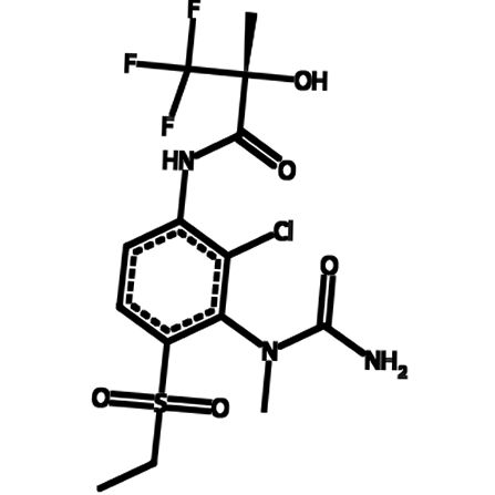 CCS(=O)(=O)c1ccc(NC(=O)[C@@](C)(O)C(F)(F)F)c(Cl)c1N(C)C(N)=O